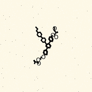 C=C(C)C(=O)OCCOc1ccc(-c2ccc(-c3ccc(OC(=O)C(=C)COC)cc3)c(C3CCC(C4CCC(CCC)CC4)CC3)c2)cc1